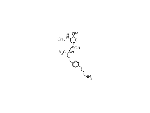 CC(CCCc1ccc(CCCCN)cc1)NC[C@H](O)c1ccc(O)c(NC=O)c1